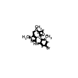 CN(Cc1cc(Nc2cc(Br)cn(C)c2=O)nn1C)C1COC1